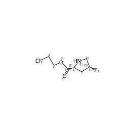 O=C(OCCCl)[C@@H]1C[C@H](F)CN1